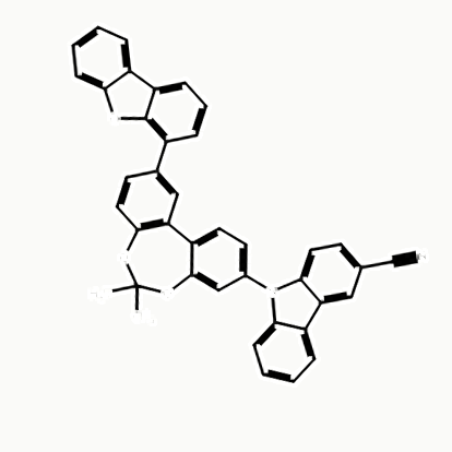 CC1(C)Oc2cc(-n3c4ccccc4c4cc(C#N)ccc43)ccc2-c2cc(-c3cccc4c3oc3ccccc34)ccc2O1